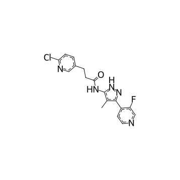 Cc1c(-c2ccncc2F)n[nH]c1NC(=O)CCc1ccc(Cl)nc1